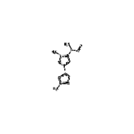 Cc1nc(-c2cnn(C)c2)cn1N(N)C=O